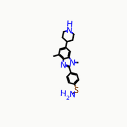 Cc1cc(C2CCNCC2)cc2c1nc(-c1ccc(SN)cc1)n2C